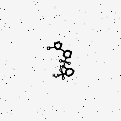 NS(=O)(=O)c1ccccc1NS(=O)(=O)c1cccc(-c2cncc(Cl)c2)c1